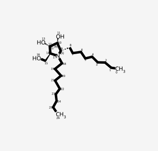 CCCCCCCCC[C@H]1[C@@H](O)[C@@H](O)[C@H](CO)N1CCCCCCCCC